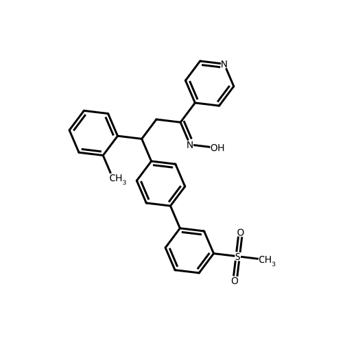 Cc1ccccc1C(CC(=NO)c1ccncc1)c1ccc(-c2cccc(S(C)(=O)=O)c2)cc1